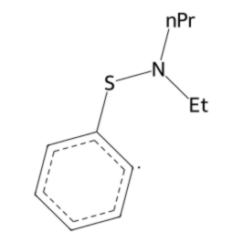 CCCN(CC)Sc1[c]cccc1